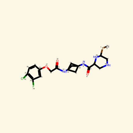 CCSC1CNCC(C(=O)NC23CC(NC(=O)COc4ccc(Cl)c(F)c4)(C2)C3)N1